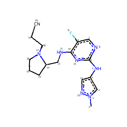 Cn1cc(Nc2ncc(F)c(NCC3CCCN3CCC#N)n2)cn1